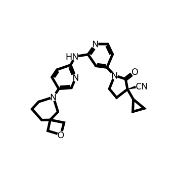 N#C[C@@]1(C2CC2)CCN(c2ccnc(Nc3ccc(N4CCCC5(COC5)C4)cn3)c2)C1=O